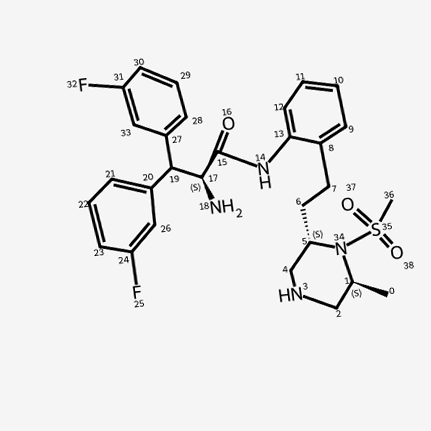 C[C@H]1CNC[C@H](CCc2ccccc2NC(=O)[C@@H](N)C(c2cccc(F)c2)c2cccc(F)c2)N1S(C)(=O)=O